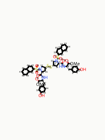 COC(=O)[C@H](Cc1ccc(O)cc1)NC(=O)[C@@H]1C[C@H](SS[C@H]2C[C@@H](C(=O)N[C@@H](Cc3ccc(O)cc3)C(=O)OC)N(S(=O)(=O)c3ccc4ccccc4c3)C2)CN1S(=O)(=O)c1ccc2ccccc2c1